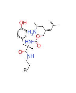 C=C(C)/C=C(/COC(=O)N[C@@](C)(Cc1ccc(O)cc1)C(=O)NCCC(C)C)CC(C)N